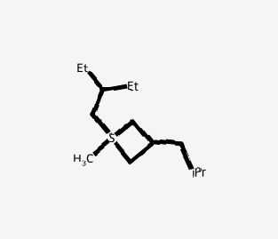 CCC(CC)CS1(C)CC(CC(C)C)C1